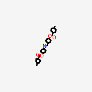 Cc1ccc(C(=O)Oc2ccc(/C=N/c3ccc(OC(=O)c4ccc(C)cc4)cc3)cc2)cc1